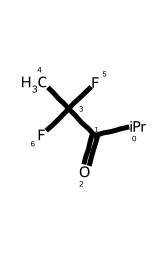 CC(C)C(=O)C(C)(F)F